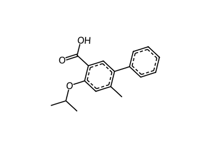 Cc1cc(OC(C)C)c(C(=O)O)cc1-c1ccccc1